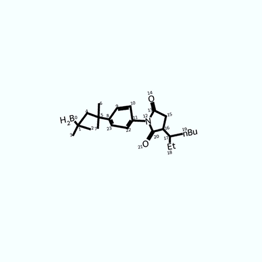 BC(C)(C)CC(C)(C)c1ccc(N2C(=O)CC(C(CC)CCCC)C2=O)cc1